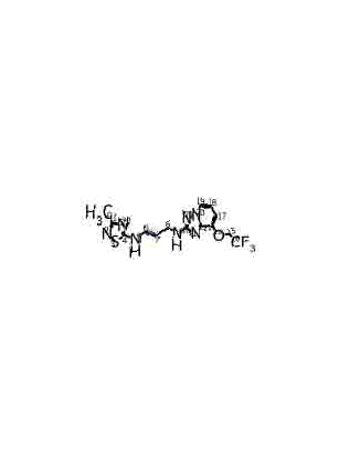 Cc1nsc(N/C=C/CNc2nc3c(OCC(F)(F)F)cccn3n2)n1